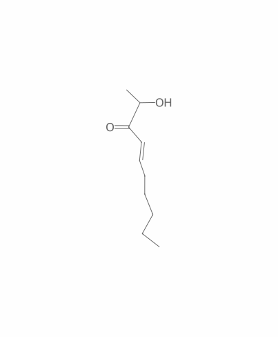 CCCCC/C=C/C(=O)C(C)O